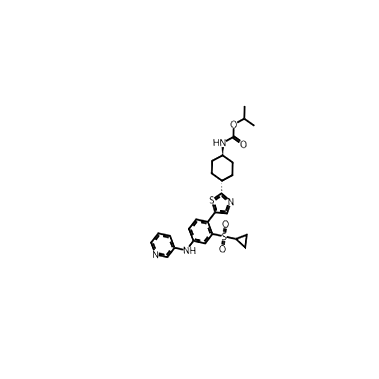 CC(C)OC(=O)N[C@H]1CC[C@H](c2ncc(-c3ccc(Nc4cccnc4)cc3S(=O)(=O)C3CC3)s2)CC1